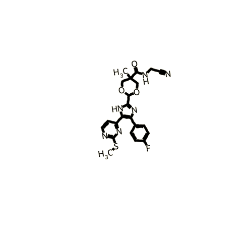 CSc1nccc(-c2[nH]c(C3OCC(C)(C(=O)NCC#N)CO3)nc2-c2ccc(F)cc2)n1